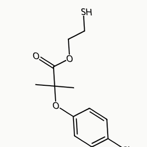 CC(C)(Oc1ccc(Cl)cc1)C(=O)OCCS